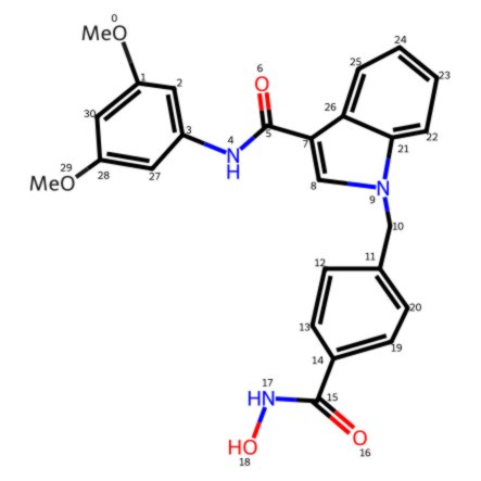 COc1cc(NC(=O)c2cn(Cc3ccc(C(=O)NO)cc3)c3ccccc23)cc(OC)c1